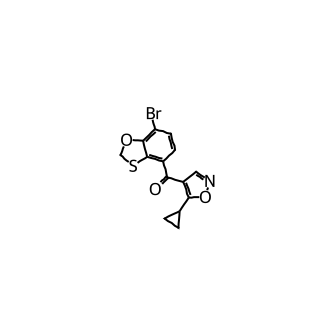 O=C(c1cnoc1C1CC1)c1ccc(Br)c2c1SCO2